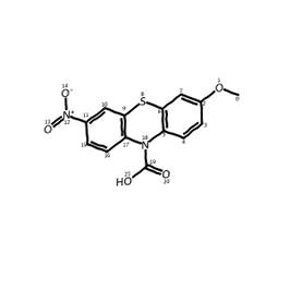 COc1ccc2c(c1)Sc1cc([N+](=O)[O-])ccc1N2C(=O)O